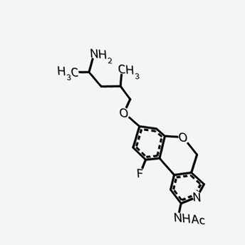 CC(=O)Nc1cc2c(cn1)COc1cc(OCC(C)CC(C)N)cc(F)c1-2